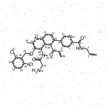 C=CCNC(=O)c1ccc(-c2ccc3nc(C)c(OCc4c(Cl)cccc4Cl)c(N(C)C(=O)CN)c3c2C(=O)C=C)cn1